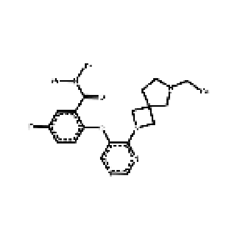 CC(C)N(C(=O)c1cc(F)ccc1Oc1cncnc1N1CC2(CCN(CC(C)(C)C)C2)C1)C(C)C